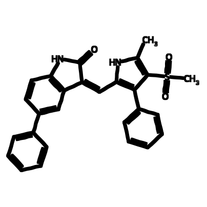 Cc1[nH]c(/C=C2\C(=O)Nc3ccc(-c4ccccc4)cc32)c(-c2ccccc2)c1S(C)(=O)=O